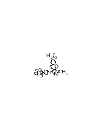 COc1ccc(Sc2c(N3CCN(S(=O)(=O)c4cccs4)CC3)cnn(C)c2=O)cc1